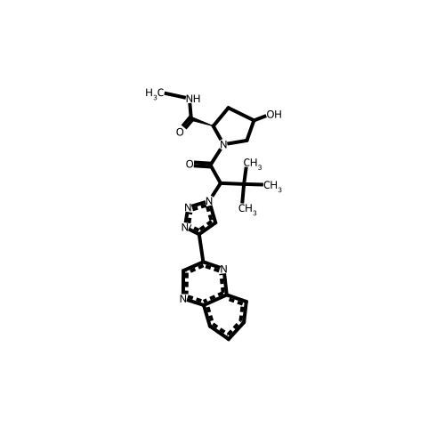 CNC(=O)[C@H]1CC(O)CN1C(=O)C(n1cc(-c2cnc3ccccc3n2)nn1)C(C)(C)C